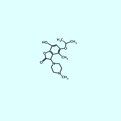 Cc1c(OC(C)C)cc(O)c2c1C(N1CCN(C)CC1)C(=O)O2